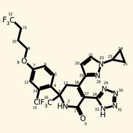 O=C1NC(c2ccc(OCCCC(F)(F)F)cc2Cl)(C(F)(F)F)CC(c2ccn(C3CC3)n2)=C1c1nnn[nH]1